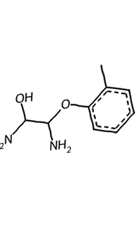 Cc1ccccc1OC(N)C(N)O